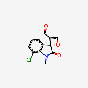 CN1C(=O)[C@@]2(OC=C2C=O)c2cccc(Cl)c21